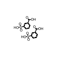 O=C(O)c1cccc(S(=O)(=O)O)c1.O=C(O)c1cccc(S(=O)(=O)O)c1